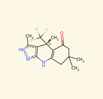 Cc1[nH]nc2c1[C@](C)(C(F)(F)F)C1=C(CC(C)(C)CC1=O)N2